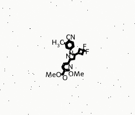 COC(=O)c1ccc(C2=NN(c3ccc(C#N)c(C)c3)C(C3CC(F)(F)C3)C2)nc1OC